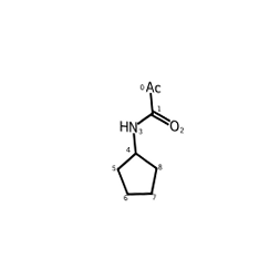 CC(=O)C(=O)NC1CCCC1